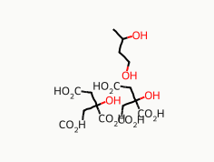 CC(O)CCO.O=C(O)CC(O)(CC(=O)O)C(=O)O.O=C(O)CC(O)(CC(=O)O)C(=O)O